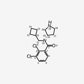 O=C(c1cccc(Cl)c1Cl)N(CC1CCC1)[C@H]1CCNC1